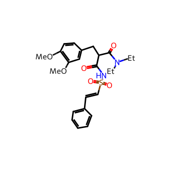 CCN(CC)C(=O)C(Cc1ccc(OC)c(OC)c1)C(=O)NS(=O)(=O)C=Cc1ccccc1